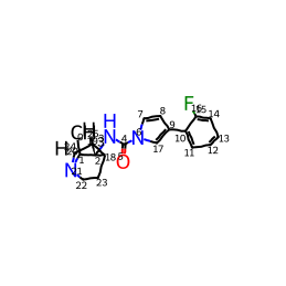 C[C@H]1[C@H](NC(=O)n2ccc(-c3ccccc3F)c2)C2CCN1CC2